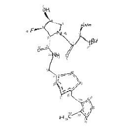 CN[C@H](C(=O)N1C[C@H](O)[C@H](F)[C@H]1C(=O)NCc1ccc(-c2scnc2C)cc1)C(C)(C)C